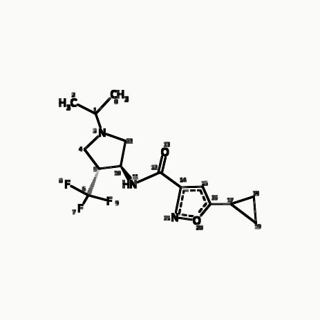 CC(C)N1C[C@@H](C(F)(F)F)[C@H](NC(=O)c2cc(C3CC3)on2)C1